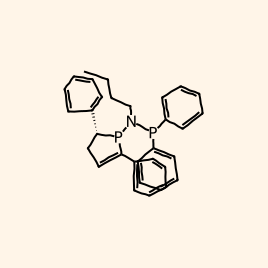 CCCCN(P(c1ccccc1)c1ccccc1)P1C(c2ccccc2)=CC[C@@H]1c1ccccc1